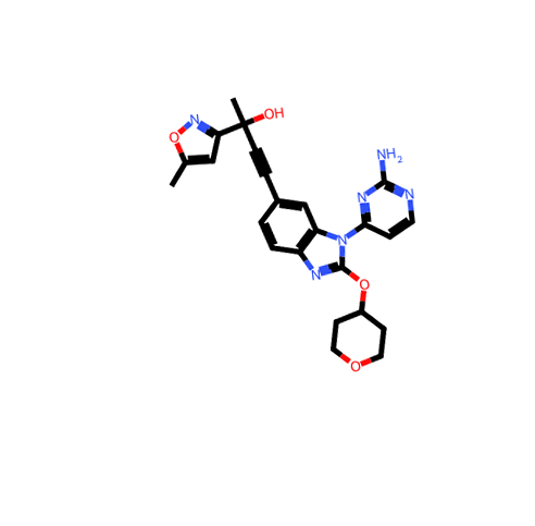 Cc1cc(C(C)(O)C#Cc2ccc3nc(OC4CCOCC4)n(-c4ccnc(N)n4)c3c2)no1